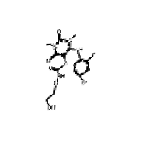 Cn1c(Nc2ccc(Br)cc2Cl)c(OC(=O)NOCCO)c(=O)n(C)c1=O